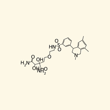 Cc1cc(C)c2c(c1)C(c1cccc(S(=O)(=O)NCCOCCC(O)(C(N)=O)C(O)C(N)=O)c1)CN(C)C2